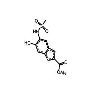 COC(=O)c1cc2cc(NS(C)(=O)=O)c(O)cc2s1